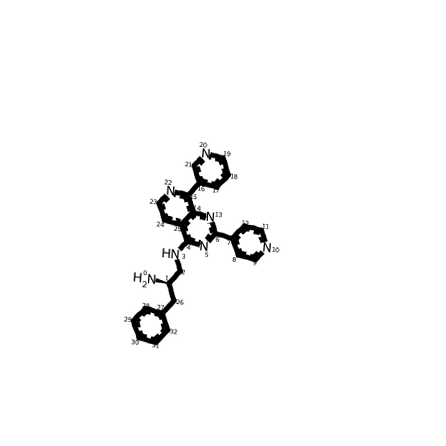 N[C@@H](CNc1nc(-c2ccncc2)nc2c(-c3cccnc3)nccc12)Cc1ccccc1